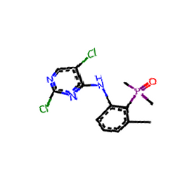 Cc1cccc(Nc2nc(Cl)ncc2Cl)c1P(C)(C)=O